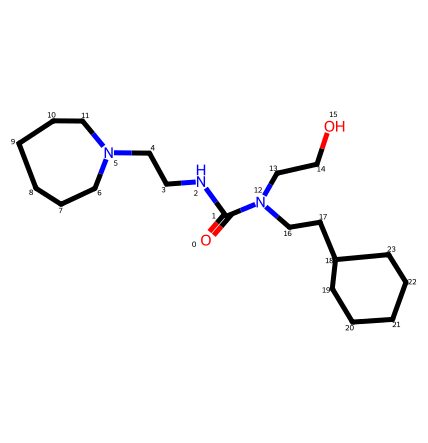 O=C(NCCN1CCCCCC1)N(CCO)CCC1CCCCC1